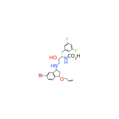 C=CCO[C@@H]1C[C@H](NC[C@H](O)[C@H](Cc2cc(F)cc(F)c2)NC(=O)O)c2cc(Br)ccc21